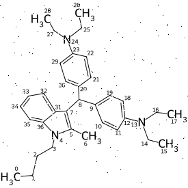 CCCCn1c(C)c(C(c2ccc(N(CC)CC)cc2)c2ccc(N(CC)CC)cc2)c2ccccc21